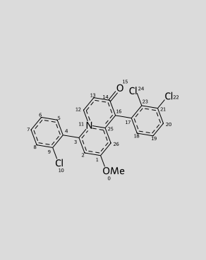 COc1cc(-c2ccccc2Cl)n2ccc(=O)c(-c3cccc(Cl)c3Cl)c2c1